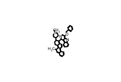 CC1C=c2ccccc2=c2ccc3c(c21)CCC(C1CCN(C)CC1)C=3C1N=CC(OCc2ccccc2)=C2N=c3c[c]ccc3=C21